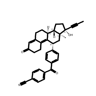 CC#C[C@]1(O)CC[C@H]2[C@@H]3CCC4=CC(=O)CCC4=C3[C@@H](c3ccc(C(=O)c4ccc(C#N)cc4)cc3)C[C@@]21C